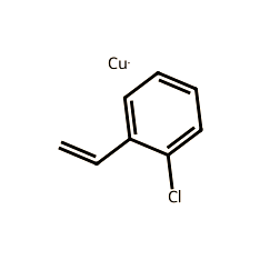 C=Cc1ccccc1Cl.[Cu]